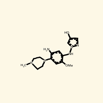 COc1cc(N2CCN(C)CC2)c(N)cc1Nn1cc(O)cn1